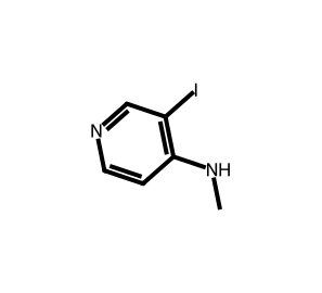 CNc1ccncc1I